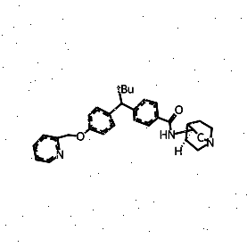 CC(C)(C)C(c1ccc(OCc2ccccn2)cc1)c1ccc(C(=O)N[C@@H]2CN3CCC2CC3)cc1